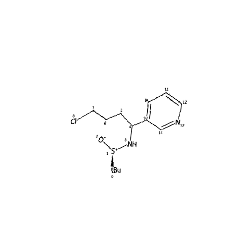 CC(C)(C)[S@@+]([O-])NC(CCCCl)c1cccnc1